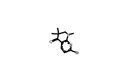 CN1CC(C)(C)C(=O)c2ccc(Br)nc21